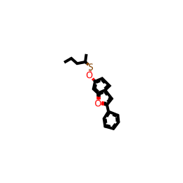 CCCC(C)SOc1ccc2cc(-c3ccccc3)oc2c1